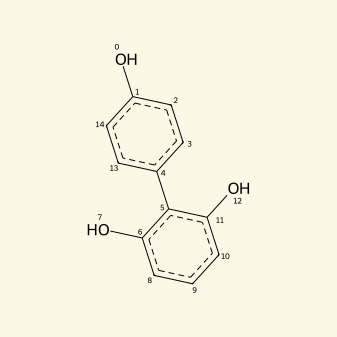 Oc1ccc(-c2c(O)cccc2O)cc1